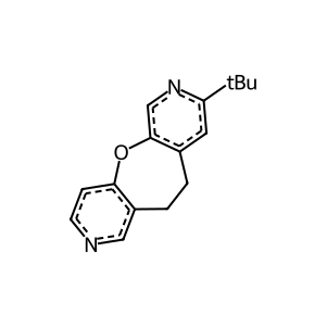 CC(C)(C)c1cc2c(cn1)Oc1ccncc1CC2